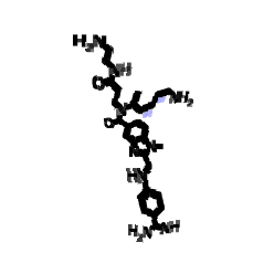 C=C(/C=C\C=C/N)N(CCC(=O)NCCN)C(=O)c1ccc2c(c1)nc(CNc1ccc(C(=N)N)cc1)n2C